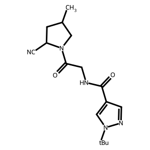 CC1CC(C#N)N(C(=O)CNC(=O)c2cnn(C(C)(C)C)c2)C1